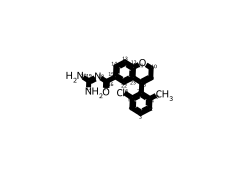 Cc1cccc(Cl)c1C1=CCOc2ccc(C(=O)N=C(N)N)cc21